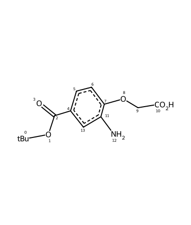 CC(C)(C)OC(=O)c1ccc(OCC(=O)O)c(N)c1